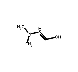 CN(C)[SH]=CO